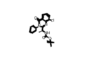 C[C@H](NC(=O)OC(C)(C)C)c1nc2c(Cl)cccc2c(=O)n1-c1ccccc1